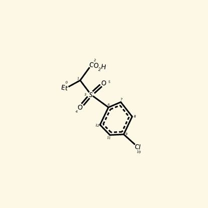 CCC(C(=O)O)S(=O)(=O)c1ccc(Cl)cc1